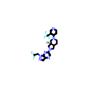 FC(F)Cn1ncc2ncc(N3CC4CCN(c5ccncc5C(F)(F)F)C[C@@H]4C3)nc21